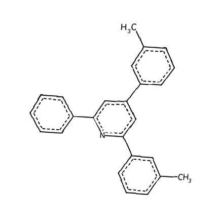 Cc1cccc(-c2cc(-c3ccccc3)nc(-c3cccc(C)c3)c2)c1